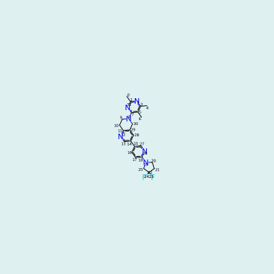 Cc1nc(C)c(C)c(N2CCc3ncc(-c4ccc(N5CCC(F)(F)C5)nc4)cc3C2)n1